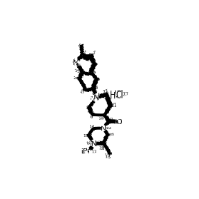 Cc1ccc2cc(N3CCC(C(=O)N4CCN(C(C)C)C(C)C4)CC3)ccc2n1.Cl